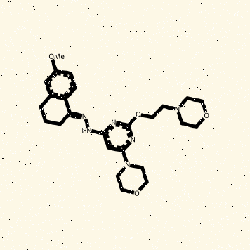 COc1ccc2c(c1)CCCC2=NNc1cc(N2CCOCC2)nc(OCCN2CCOCC2)n1